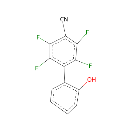 N#Cc1c(F)c(F)c(-c2ccccc2O)c(F)c1F